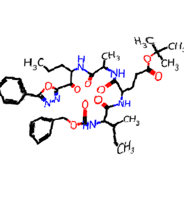 CCCC(NC(=O)C(C)NC(=O)C(CCC(=O)OC(C)(C)C)NC(=O)C(NC(=O)OCc1ccccc1)C(C)CC)C(=O)c1nnc(-c2ccccc2)o1